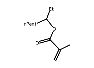 [CH2]CC(CCCCC)OC(=O)C(=C)C